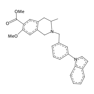 COC(=O)c1cc2c(cc1OC)CN(Cc1cccc(-n3ccc4ccccc43)c1)C(C)C2